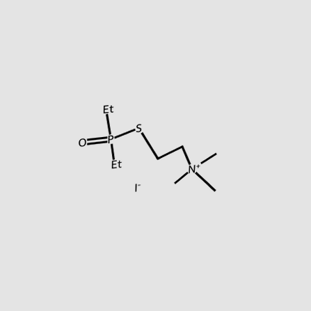 CCP(=O)(CC)SCC[N+](C)(C)C.[I-]